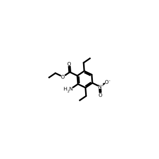 CCOC(=O)c1c(CC)cc([N+](=O)[O-])c(CC)c1N